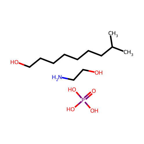 CC(C)CCCCCCCO.NCCO.O=P(O)(O)O